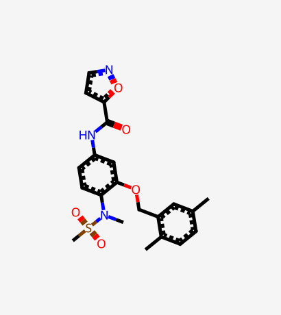 Cc1ccc(C)c(COc2cc(NC(=O)c3ccno3)ccc2N(C)S(C)(=O)=O)c1